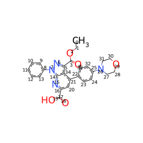 CCOC(=O)c1nn(-c2ccccc2)c2nc(C(=O)O)cc(-c3ccc(N4CCOCC4)cc3)c12